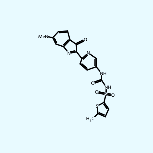 CNc1ccc2c(c1)N=C(c1ccc(NC(=O)NS(=O)(=O)c3ccc(C)s3)cn1)C2=O